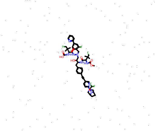 COC(=O)NC(C(=O)NC(Cc1ccc(C#Cc2ccc(N3CC4CCC(C3)N4CC(F)F)nc2)cc1)C(O)CN(Cc1c(F)cc(-c2ccccn2)cc1Cl)NC(=O)C(NC(=O)O)C(C)(C)CF)C(C)(C)CF